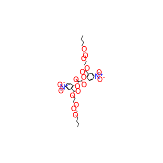 CCCCOCOOCCOC(=O)c1cc([N+](=O)[O-])ccc1OC(=O)C(=O)Oc1ccc([N+](=O)[O-])cc1C(=O)OCCOOCOCCCC